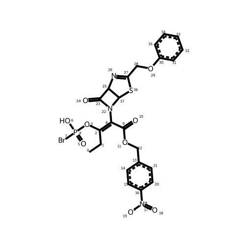 CCC(OP(=O)(O)Br)=C(C(=O)OCc1ccc([N+](=O)[O-])cc1)N1C(=O)C2N=C(COc3ccccc3)SC21